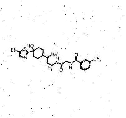 CCc1cnc(C2(O)CCC(C(=N)C[C@@H](C)NC(=O)CNC(=O)c3cccc(C(F)(F)F)c3)CC2)s1